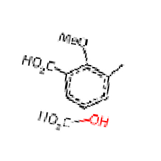 COc1c(C)cccc1C(=O)O.O=C(O)O